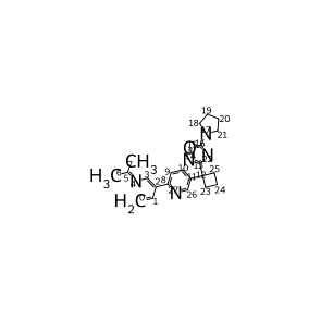 C=C/C(=C\N=C(C)C)c1ccc(C2(c3noc(N4CCCC4)n3)CCC2)cn1